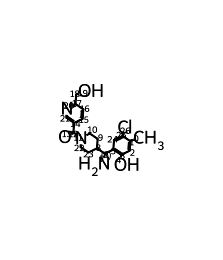 Cc1cc(O)c([C@H](N)C2CCN(C(=O)c3ccc(CO)nc3)CC2)cc1Cl